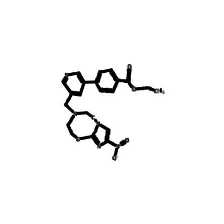 CCOC(=O)c1ccc(-c2cncc(CN3CCOc4nc([N+](=O)[O-])cn4CC3)c2)cc1